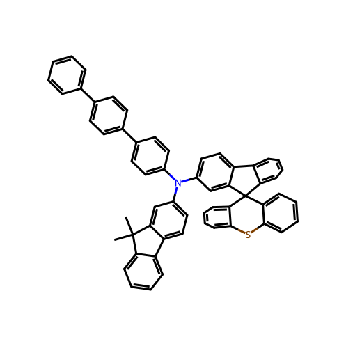 CC1(C)c2ccccc2-c2ccc(N(c3ccc(-c4ccc(-c5ccccc5)cc4)cc3)c3ccc4c(c3)C3(c5ccccc5Sc5ccccc53)c3ccccc3-4)cc21